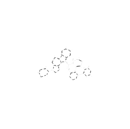 N[C@H](C1NC=CC=C1c1ccccc1-c1ccccc1)n1c2ccccc2c2ccc3c(ccn3-c3ccccc3)c21